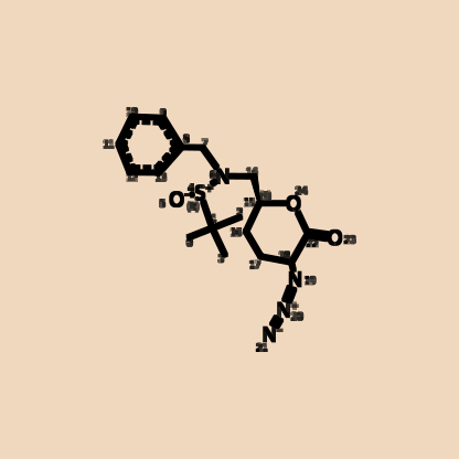 CC(C)(C)[S@+]([O-])N(Cc1ccccc1)C[C@@H]1CCC(N=[N+]=[N-])C(=O)O1